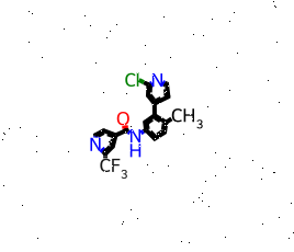 Cc1ccc(NC(=O)c2ccnc(C(F)(F)F)c2)cc1-c1ccnc(Cl)c1